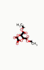 CCOC(=O)C1OC(=O)C(=O)OC1C(=O)OCC